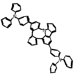 c1ccc(N(c2ccccc2)c2ccc(-c3ccc4c(c3)-c3ccccc3-c3cc(-c5ccc(N(c6ccccc6)c6ccccc6)cc5)cc5c6ccccc6n-4c35)cc2)cc1